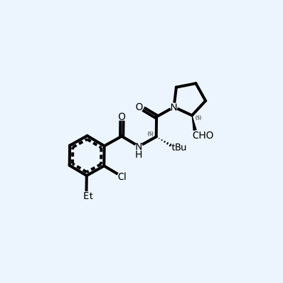 CCc1cccc(C(=O)N[C@H](C(=O)N2CCC[C@H]2C=O)C(C)(C)C)c1Cl